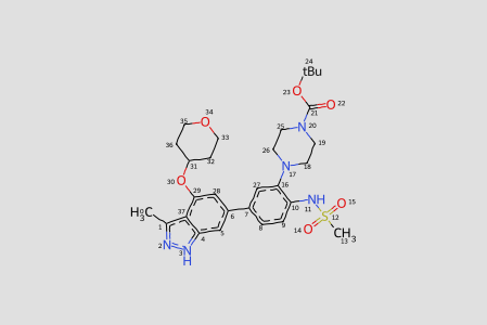 Cc1n[nH]c2cc(-c3ccc(NS(C)(=O)=O)c(N4CCN(C(=O)OC(C)(C)C)CC4)c3)cc(OC3CCOCC3)c12